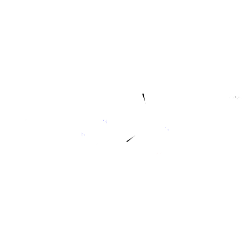 COc1ccc(CN2C[C@H](C)O[C@H](Cc3cn(CCC4CCCCC4)cn3)C2=O)cc1